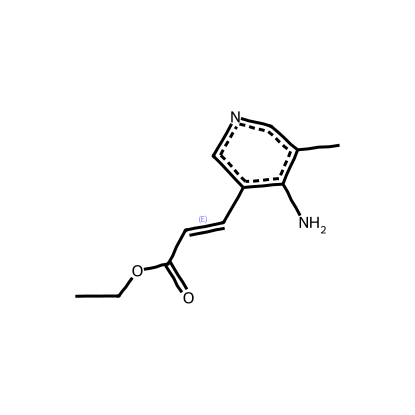 CCOC(=O)/C=C/c1cncc(C)c1N